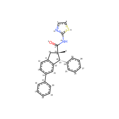 C[C@]1(C(=O)Nc2nccs2)Cc2ccc(-c3ccccc3)cc2[C@H]1c1ccccc1